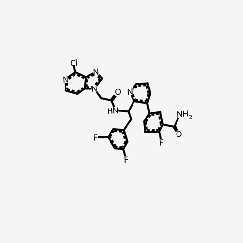 NC(=O)c1cc(-c2cccnc2C(Cc2cc(F)cc(F)c2)NC(=O)Cn2cnc3c(Cl)nccc32)ccc1F